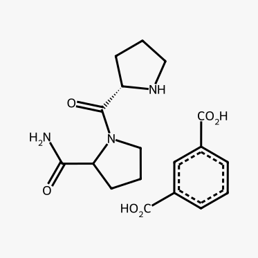 NC(=O)C1CCCN1C(=O)[C@@H]1CCCN1.O=C(O)c1cccc(C(=O)O)c1